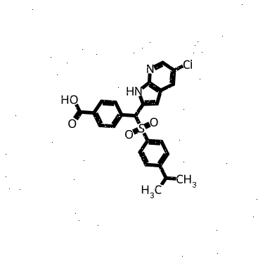 CC(C)c1ccc(S(=O)(=O)C(c2ccc(C(=O)O)cc2)c2cc3cc(Cl)cnc3[nH]2)cc1